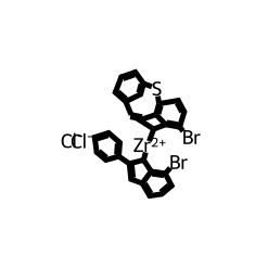 Brc1cccc2c1[CH]([Zr+2][CH]1C3=Cc4c(ccc(Br)c41)Sc1cccc3c1)C(c1ccccc1)=C2.[Cl-].[Cl-]